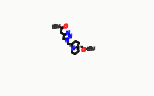 CC(C)(C)OC[C@]12CCCN1[C@@H](Cn1cc(CC(=O)C(C)(C)C)nn1)CC2